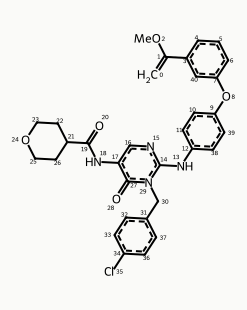 C=C(OC)c1cccc(Oc2ccc(Nc3ncc(NC(=O)C4CCOCC4)c(=O)n3Cc3ccc(Cl)cc3)cc2)c1